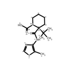 Cc1scnc1NC(=O)[C@@]1(C(C)(C)C)CCCCN1C(=O)O